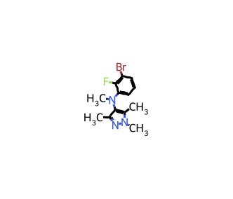 Cc1nn(C)c(C)c1N(C)c1cccc(Br)c1F